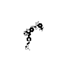 CCOCCN1CCC(c2cc(-c3ccc(NC(=O)Nc4cc(C(F)(F)F)ccc4F)cc3)c3c(N)ncnn23)CC1